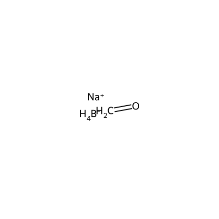 C=O.[BH4-].[Na+]